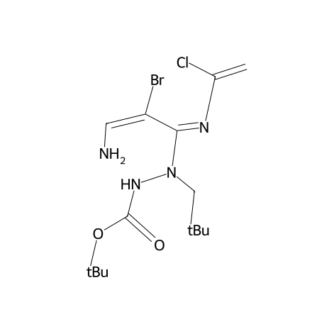 C=C(Cl)/N=C(\C(Br)=C/N)N(CC(C)(C)C)NC(=O)OC(C)(C)C